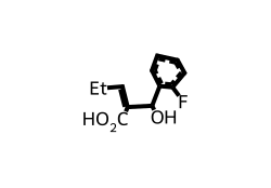 CCC=C(C(=O)O)C(O)c1ccccc1F